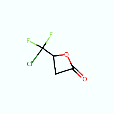 O=C1CC(C(F)(F)Cl)O1